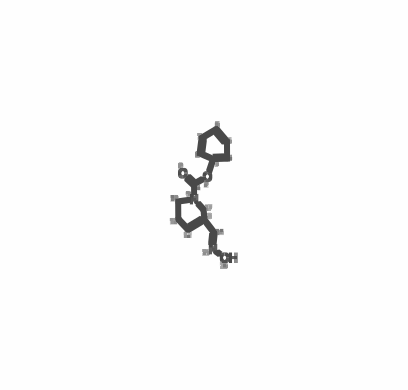 O=C(Oc1ccccc1)N1CCC=C(C=NO)C1